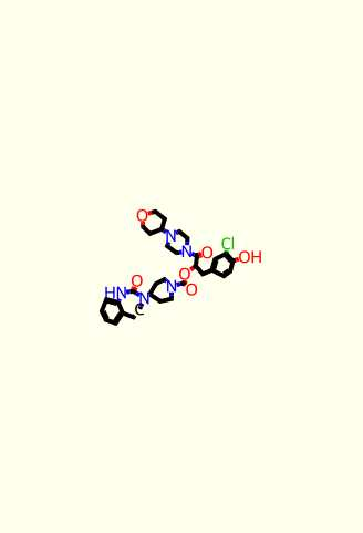 O=C(OC(Cc1ccc(O)c(Cl)c1)C(=O)N1CCN(C2CCOCC2)CC1)N1CCC(N2CCc3ccccc3NC2=O)CC1